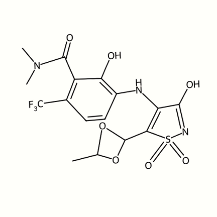 CC1OC(C2=C(Nc3ccc(C(F)(F)F)c(C(=O)N(C)C)c3O)C(O)=NS2(=O)=O)O1